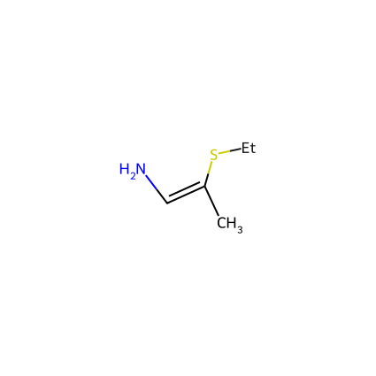 CCS/C(C)=C\N